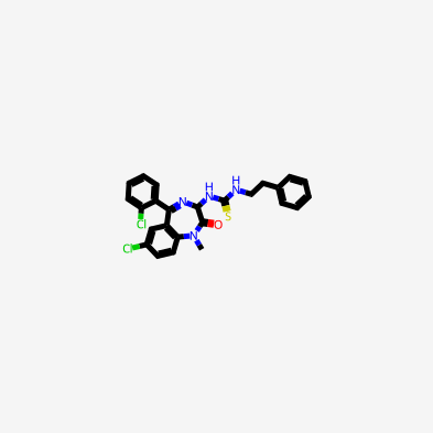 CN1C(=O)C(NC(=S)NCCc2ccccc2)N=C(c2ccccc2Cl)c2cc(Cl)ccc21